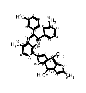 Cc1cccc(-c2nc3c(C)cnc(-c4cc5c(C)c6sc(C)cc6c(C)c5s4)c3nc2-c2cccc(C)c2)c1